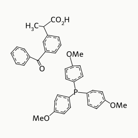 CC(C(=O)O)c1cccc(C(=O)c2ccccc2)c1.COc1ccc(P(c2ccc(OC)cc2)c2ccc(OC)cc2)cc1